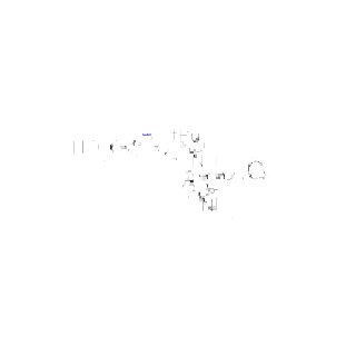 CC(C)(C)OC(=O)N[C@@H](CCCOC/C=C\[C@@H]1C[C@@H]1C(=O)O)C(=O)N1C[C@H](OCc2ccccc2)C[C@H]1C(N)=O